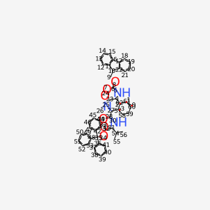 CC[C@H](C)[C@H](NC(=O)OCC1c2ccccc2-c2ccccc21)C(=O)N(C)[C@H](C(=O)N[C@@H](C(=O)OC(c1ccccc1)(c1ccccc1)c1ccccc1)C(C)C)C1CCCCC1